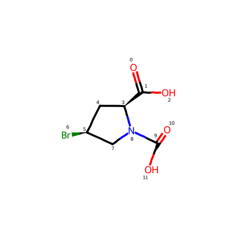 O=C(O)[C@@H]1C[C@H](Br)CN1C(=O)O